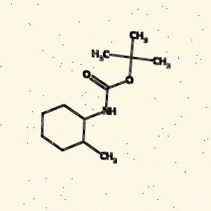 CC1CCCCC1NC(=O)OC(C)(C)C